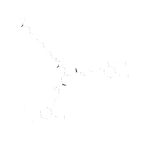 CC(=O)CCOCCOCCNC(=O)CN(CC(=O)NCCO[C@@H]1O[C@@H](C)[C@@H](O)[C@@H](O)[C@@H]1O)CC(=O)NCCO[C@@H]1O[C@@H](O)[C@@H](O)[C@@H](O)[C@@H]1O